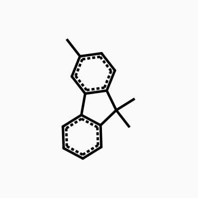 Cc1ccc2c(c1)-c1ccccc1C2(C)C